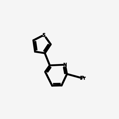 CC(C)c1cccc(-c2ccsc2)n1